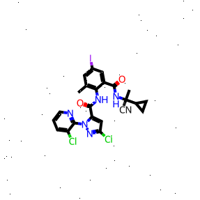 Cc1cc(I)cc(C(=O)NC(C)(C#N)C2CC2)c1NC(=O)c1cc(Cl)nn1-c1ncccc1Cl